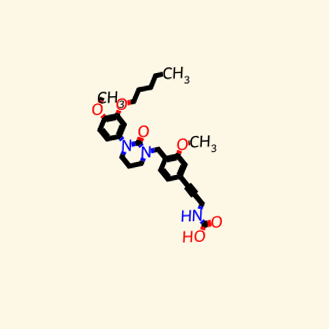 CCCCCOc1cc(N2CCCN(Cc3ccc(C#CCNC(=O)O)cc3OC)C2=O)ccc1OC